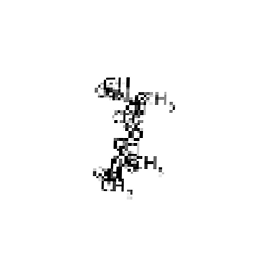 COc1nc(O[C@H]2CCc3c(-c4cccc(-c5cnc(CN6CC(C)(CO)C6)c(OC)n5)c4Cl)cccc32)c(Cl)cc1CN1CC[C@H](C(=O)O)C1